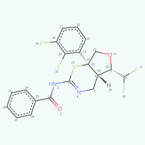 O=C(NC1=NC[C@H]2[C@@H](C(F)F)OC[C@]2(c2cccc(F)c2F)S1)c1ccccc1